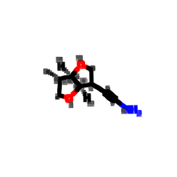 C[C@H]1CO[C@@H]2C(C#CN)CO[C@@H]21